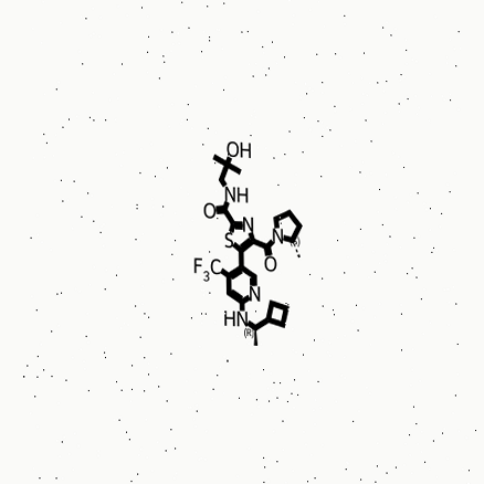 C[C@@H](Nc1cc(C(F)(F)F)c(-c2sc(C(=O)NCC(C)(C)O)nc2C(=O)N2CCC[C@@H]2C)cn1)C1CCC1